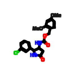 COc1ccc(COC(=O)NC2CC(=O)NC2c2cccc(Cl)c2)c(OC)c1